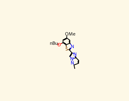 CCCCOc1cc(OC)cc2nc(-c3cn4nc(C)ccc4n3)sc12